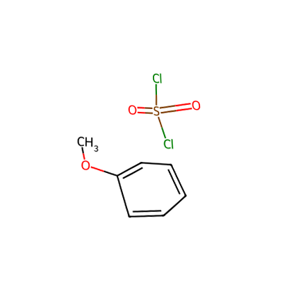 COc1ccccc1.O=S(=O)(Cl)Cl